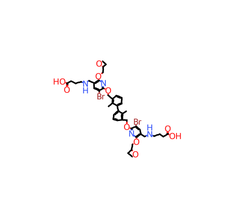 Cc1c(COc2nc(OCC3CCO3)c(CNCCCC(=O)O)cc2Br)cccc1-c1cccc(COc2nc(OCC3CCO3)c(CNCCCC(=O)O)cc2Br)c1C